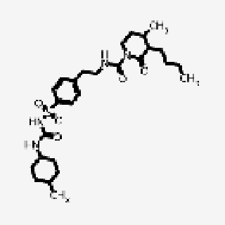 CCCCC1C(=O)N(C(=O)NCCc2ccc(S(=O)(=O)NC(=O)NC3CCC(C)CC3)cc2)CCC1C